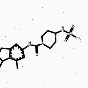 Cc1cc(NC(=O)N2CCC(NS(=O)(=O)C(C)(C)C)CC2)cc2c1C(C)CC2